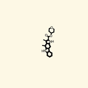 Cc1c(C(=O)OC2CCOCC2)[nH]c2cc3c([nH]c4ccccc43)c(C)c12